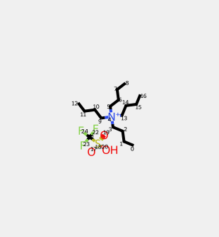 CCCC[N+](CCCC)(CCCC)CCCC.O=S(=O)(O)C(F)(F)F